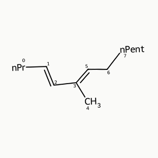 CCCC=CC(C)=CCCCCCC